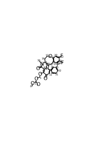 COC(=O)OCOc1c2n(ccc1=O)N1C(CCOc3cc(F)c(F)cc3[C@@H]1c1ccccc1F)N(C)C2=O